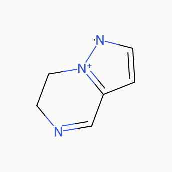 C1=CC2=[N+](CCN=C2)[N]1